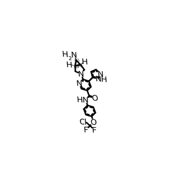 N[C@@H]1[C@H]2CN(c3ncc(C(=O)Nc4ccc(OC(F)(F)Cl)cc4)cc3-c3ccn[nH]3)C[C@@H]12